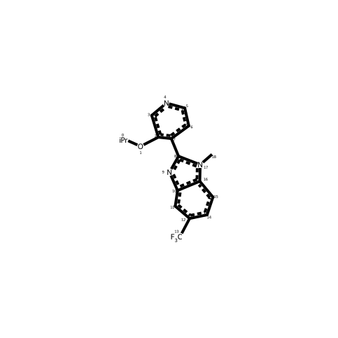 CC(C)Oc1cnccc1-c1nc2cc(C(F)(F)F)ccc2n1C